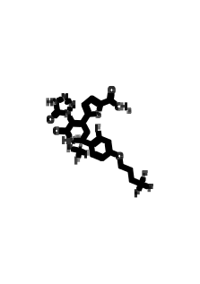 CC(=O)c1ccc(C2=C(n3nn[nH]c3=O)C(=O)N[C@@](c3ccc(OCCCC(F)(F)F)cc3F)(C(F)(F)F)C2)s1